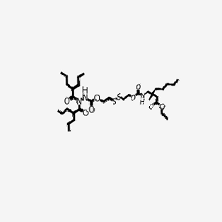 CCCCCC(C)(CNC(=O)OCCSSCCOC(=O)NN(C(=O)C(CCC)CCC)C(=O)C(CCC)CCC)CC(=O)OCC